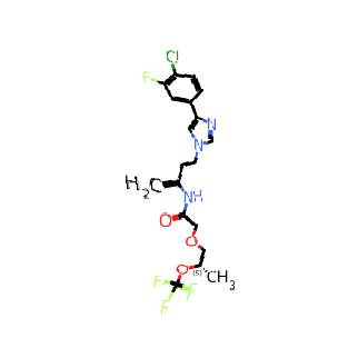 C=C(CCn1cnc(-c2ccc(Cl)c(F)c2)c1)NC(=O)COC[C@H](C)OC(F)(F)F